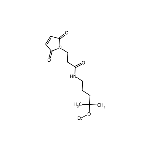 CCOC(C)(C)CCCNC(=O)CCN1C(=O)C=CC1=O